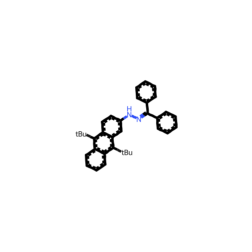 CC(C)(C)c1c2ccccc2c(C(C)(C)C)c2cc(NN=C(c3ccccc3)c3ccccc3)ccc12